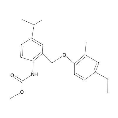 CCc1ccc(OCc2cc(C(C)C)ccc2NC(=O)OC)c(C)c1